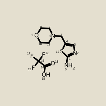 Nc1ncc(CN2CCOCC2)s1.O=C(O)C(F)(F)F